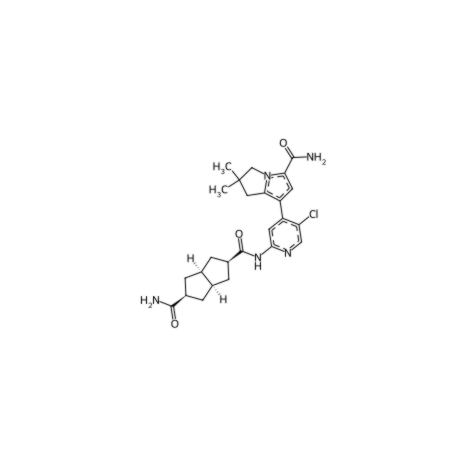 CC1(C)Cc2c(-c3cc(NC(=O)[C@H]4C[C@H]5C[C@@H](C(N)=O)C[C@H]5C4)ncc3Cl)cc(C(N)=O)n2C1